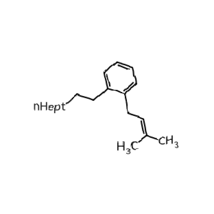 CCCCCCCCCc1ccccc1CC=C(C)C